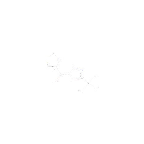 CC(C)(C)c1nnc(C(=O)C2CSCN2)o1